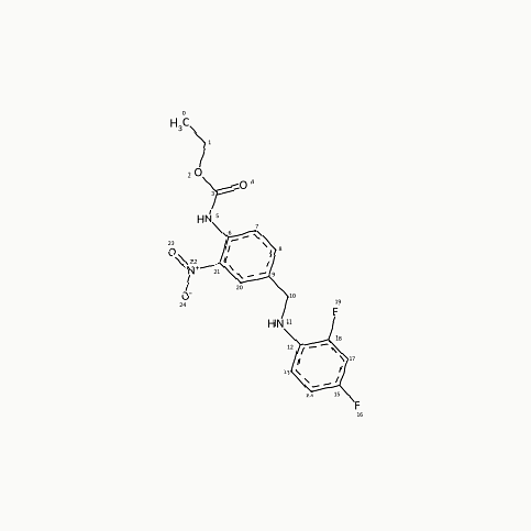 CCOC(=O)Nc1ccc(CNc2ccc(F)cc2F)cc1[N+](=O)[O-]